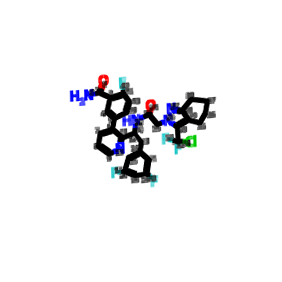 NC(=O)c1cc(-c2cccnc2[C@H](Cc2cc(F)cc(F)c2)NC(=O)Cn2nc3c(c2C(F)(F)Cl)CCCC3)ccc1F